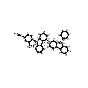 Cc1cc(C#N)ccc1-n1c2ccccc2c2c(-c3ccc4c5ccccc5n(-c5ccccc5)c4c3)cccc21